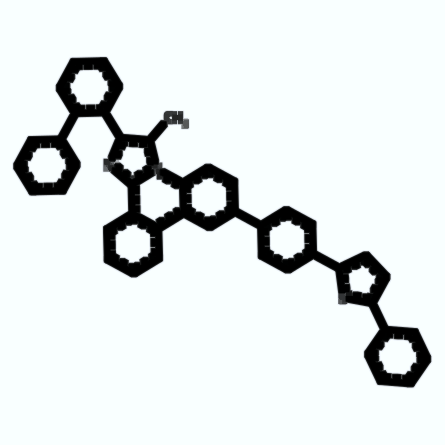 Cc1c(-c2ccccc2-c2ccccc2)nc2c3ccccc3c3cc(-c4ccc(-c5ccc(-c6ccccc6)s5)cc4)ccc3n12